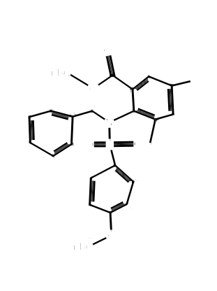 CCCCOC(=O)c1cc(C)cc(C)c1N(Cc1ccccc1)S(=O)(=O)c1ccc(OCCCC)cc1